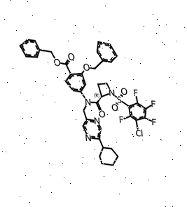 O=C(OCc1ccccc1)c1ccc(N(Cc2cnc(C3CCCCC3)cn2)C(=O)[C@H]2CCN2S(=O)(=O)c2c(F)c(F)c(F)c(Cl)c2F)cc1OCc1ccccc1